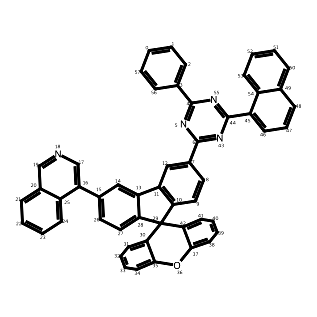 c1ccc(-c2nc(-c3ccc4c(c3)-c3cc(-c5cncc6ccccc56)ccc3C43c4ccccc4Oc4ccccc43)nc(-c3cccc4ccccc34)n2)cc1